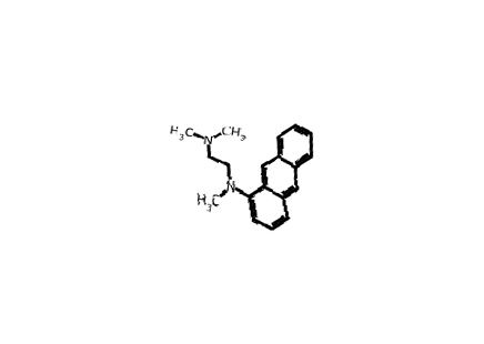 CN(C)CCN(C)c1cccc2cc3ccccc3cc12